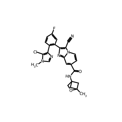 Cn1cnc(-c2ccc(F)cc2-c2nc3cc(C(=O)NC45COC(C)(C4)C5)ccn3c2C#N)c1Cl